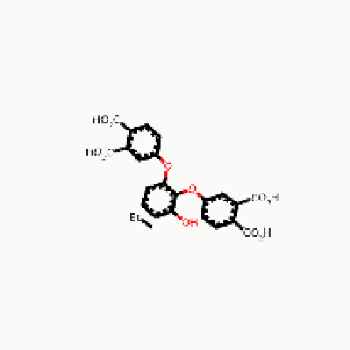 CCC.O=C(O)c1ccc(Oc2cccc(O)c2Oc2ccc(C(=O)O)c(C(=O)O)c2)cc1C(=O)O